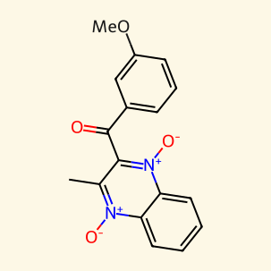 COc1cccc(C(=O)c2c(C)[n+]([O-])c3ccccc3[n+]2[O-])c1